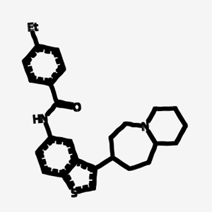 CCc1ccc(C(=O)Nc2ccc3scc(C4CCC5CCCCN5CC4)c3c2)cc1